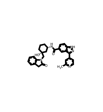 Cc1cc(-c2n[nH]c3ccc(C(=O)N[C@H]4CCC[C@](O)(CN5C(=O)Cc6ccccc65)C4)cc23)ccn1